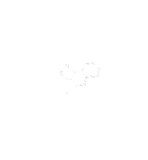 Cc1cc2ccccc2c2nc(S)sc12